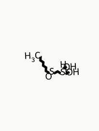 CCCCCCCC(=O)SCCC[SiH](CO)CO